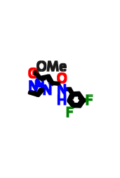 COC(=O)c1cc(C(=O)NCc2cc(F)cc(F)c2)nc2ccnn12